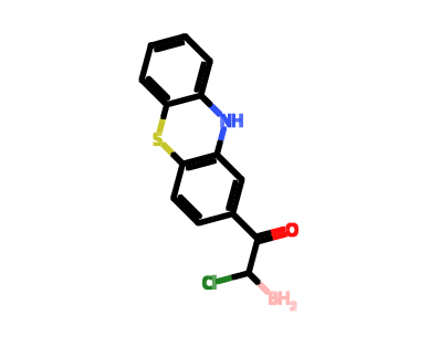 BC(Cl)C(=O)c1ccc2c(c1)Nc1ccccc1S2